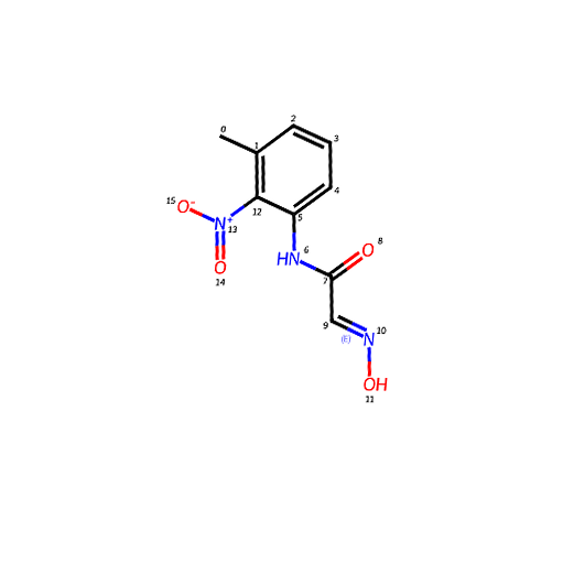 Cc1cccc(NC(=O)/C=N/O)c1[N+](=O)[O-]